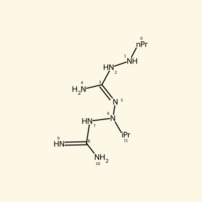 CCCNNC(N)=NN(NC(=N)N)C(C)C